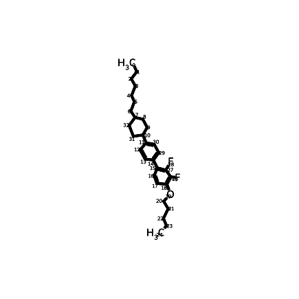 CCCCCCCC1CCC(c2ccc(-c3ccc(OCCCCC)c(F)c3F)cc2)CC1